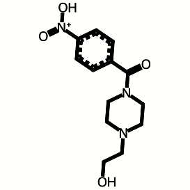 O=C(c1ccc([N+](=O)O)cc1)N1CCN(CCO)CC1